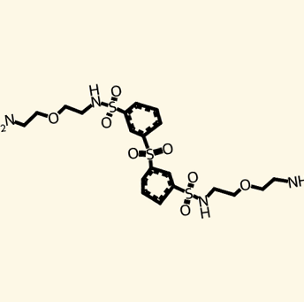 NCCOCCNS(=O)(=O)c1cccc(S(=O)(=O)c2cccc(S(=O)(=O)NCCOCCN)c2)c1